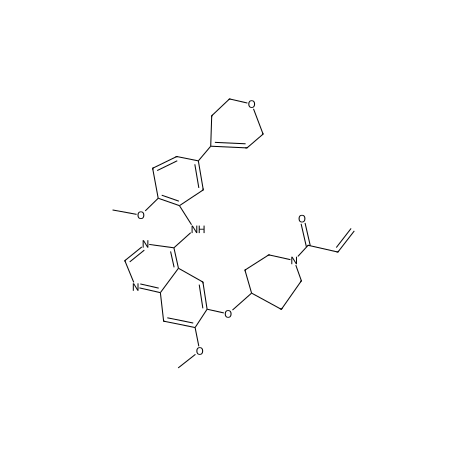 C=CC(=O)N1CCC(Oc2cc3c(Nc4cc(C5=CCOCC5)ccc4OC)ncnc3cc2OC)CC1